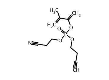 C#CCCOP(=O)(OCCC#N)OC(=C)C(=C)C